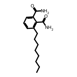 CCCCCCCCc1cccc(C(N)=O)c1C(N)=O